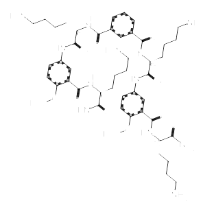 COc1ccc(NC(=O)[C@H](CCCCN)NC(=O)c2cccc(C(=O)N[C@@H](CCCCN)C(=O)Nc3ccc(OC)c(C(=O)N[C@@H](CCCCN)C(N)=O)c3)c2)cc1C(=O)N[C@@H](CCCCN)C(N)=O